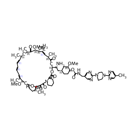 CO[C@H]1C[C@@H]2CC[C@@H](C)[C@@](O)(O2)C(=O)C(=O)N2CCCC[C@H]2C(=O)O[C@H]([C@H](N)C[C@@H]2CC[C@@H](OC(=O)NCc3cnc(N4CCN(c5ncc(C)cn5)CC4)nc3)[C@H](OC)C2)CC(=O)[C@H](C)/C=C(\C)[C@@H](O)[C@@H](OC)C(=O)[C@H](C)C[C@H](C)/C=C/C=C/C=C/1C